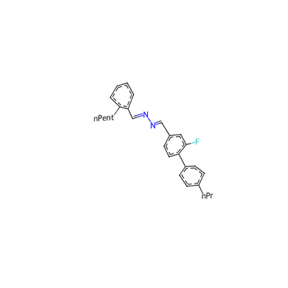 CCCCCc1ccccc1C=NN=Cc1ccc(-c2ccc(CCC)cc2)c(F)c1